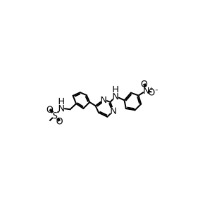 CS(=O)(=O)NCc1cccc(-c2ccnc(Nc3cccc([N+](=O)[O-])c3)n2)c1